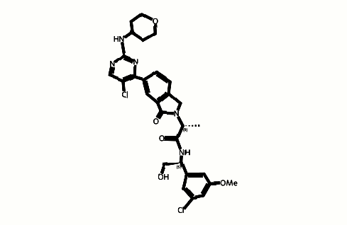 COc1cc(Cl)cc([C@@H](CO)NC(=O)[C@@H](C)N2Cc3ccc(-c4nc(NC5CCOCC5)ncc4Cl)cc3C2=O)c1